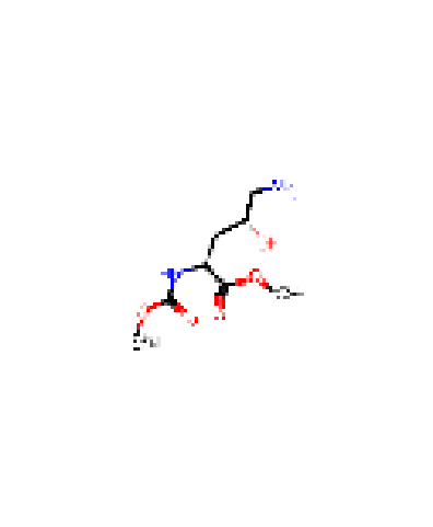 CC(C)(C)OC(=O)N[C@@H](C[C@@H](O)CN)C(=O)OC(C)(C)C